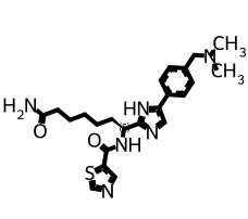 CN(C)Cc1ccc(-c2cnc([C@H](CCCCCC(N)=O)NC(=O)c3cncs3)[nH]2)cc1